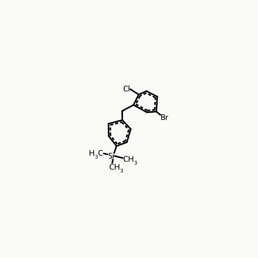 C[Si](C)(C)c1ccc(Cc2cc(Br)ccc2Cl)cc1